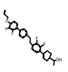 C=CCOc1ccc(-c2ccc(CCc3ccc(C4=CCC(C(C)O)CC4)c(F)c3F)cc2)c(F)c1F